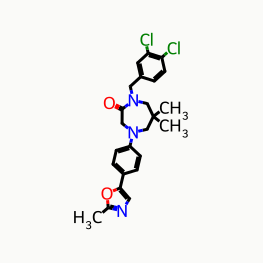 Cc1ncc(-c2ccc(N3CC(=O)N(Cc4ccc(Cl)c(Cl)c4)CC(C)(C)C3)cc2)o1